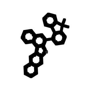 CC1(C)c2ccccc2-c2c(-c3cc4ccccc4c4c3oc3cc5ccccc5cc34)cccc21